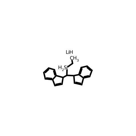 CC[SiH2]C(C1C=Cc2ccccc21)C1C=Cc2ccccc21.[LiH]